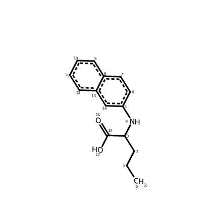 CCCC(Nc1ccc2ccccc2c1)C(=O)O